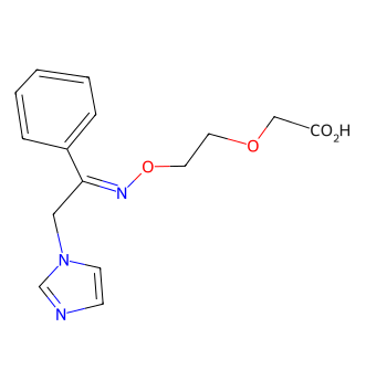 O=C(O)COCCO/N=C(/Cn1ccnc1)c1ccccc1